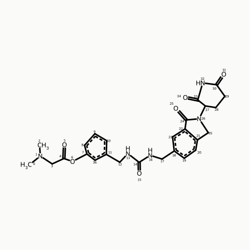 CN(C)CC(=O)Oc1cccc(CNC(=O)NCc2ccc3c(c2)C(=O)N(C2CCC(=O)NC2=O)C3)c1